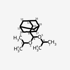 CC(C)OC(OC(C)C)C12CC3CC(CC(C3)C1)C2